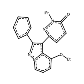 CCOc1cccn2nc(-c3ccccc3)c(-c3ccc(=O)n(C(C)C)n3)c12